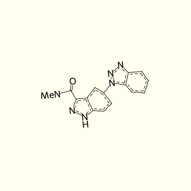 CNC(=O)c1n[nH]c2ccc(-n3nnc4ccccc43)cc12